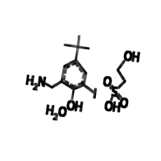 CC(C)(C)c1cc(I)c(O)c(CN)c1.O.O=S(=O)(O)CCO